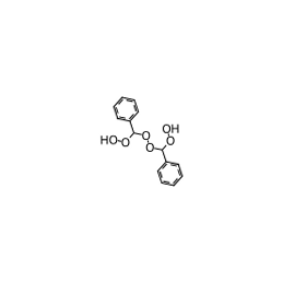 OOC(OOC(OO)c1ccccc1)c1ccccc1